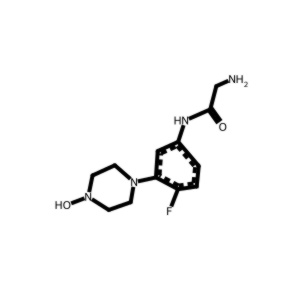 NCC(=O)Nc1ccc(F)c(N2CCN(O)CC2)c1